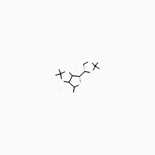 CC1(C)OC[C@H]([C@H]2OC(O)[C@@]3(C)OC(C)(C)O[C@@H]23)O1